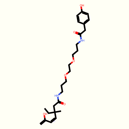 C=C(O)/C=C\C(C)(CC)CC(=O)NCCCOCCOCCCNC(=O)Cc1ccc(O)cc1